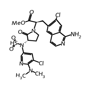 COC(=O)[C@@H](Cc1cc2ccnc(N)c2cc1Cl)N1CC[C@H](N(c2cnc(N(C)C)c(Cl)c2)[SH](=O)=O)C1=O